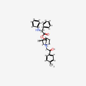 O=C(C[N+]12CCC(CC1)[C@@H](OC(=O)[C@H](Nc1ccccc1)c1ccccc1)C2)c1ccc(C(F)(F)F)cc1